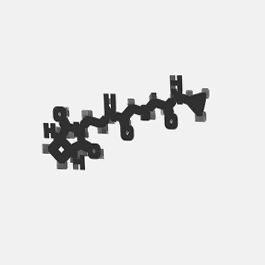 O=C(CSCC(=O)NC1CC1)NCCN1C(=O)[C@H]2CC[C@H]2C1=O